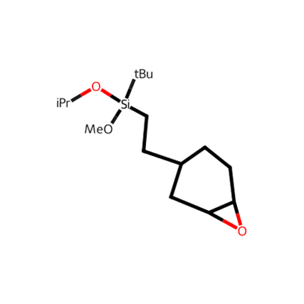 CO[Si](CCC1CCC2OC2C1)(OC(C)C)C(C)(C)C